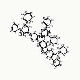 CC1(C2C=CC=CC2)C=C(C2C=NC(c3ccc4c(c3)SC3CC5=C(CC43)N(C3C=CCCC3)C3=CC=CCC35)=C(C3N=C(C4=CC=CCC4)N=C(C4=CCCC=C4)N3)C2)C=C(C2=CC=CC=CC2)C1